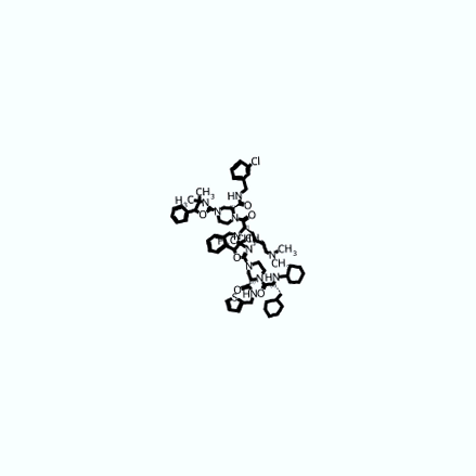 CN(C)CCCC[C@H](C(=O)N1CCN(C2=NC(C)(C)C(c3ccccc3)O2)C[C@H]1C(=O)NCc1cccc(Cl)c1)N(C)Cc1ccccc1C1OC(N2CCN(C(=O)[C@@H](CC3CCCCC3)NC3CCCCC3)[C@H](C(=O)NCc3cccs3)C2)=NC1(C)C